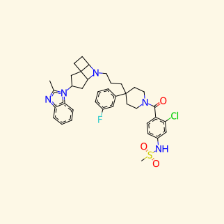 Cc1nc2ccccc2n1C1CC2N(CCCC3(c4cccc(F)c4)CCN(C(=O)c4ccc(NS(C)(=O)=O)cc4Cl)CC3)C3CCC32C1